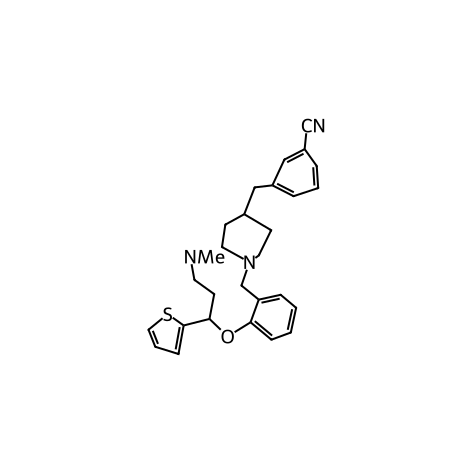 CNCCC(Oc1ccccc1CN1CCC(Cc2cccc(C#N)c2)CC1)c1cccs1